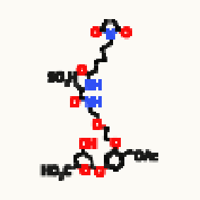 CC(=O)OCc1ccc(OC2CC(O)CC(C(=O)O)O2)cc1OCCOCCNC(=O)C(CS(=O)(=O)O)NC(=O)CCCCCN1C(=O)C=CC1=O